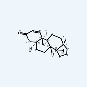 C[C@@]12CCC[C@H]1[C@@H]1CC[C@H]3SC(=O)C=C[C@]3(C)[C@H]1CC2